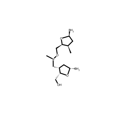 B[C@H]1C[C@@H](CN(C)OC[C@H]2O[C@@H](B)C[C@H]2C)[C@@H](CO)O1